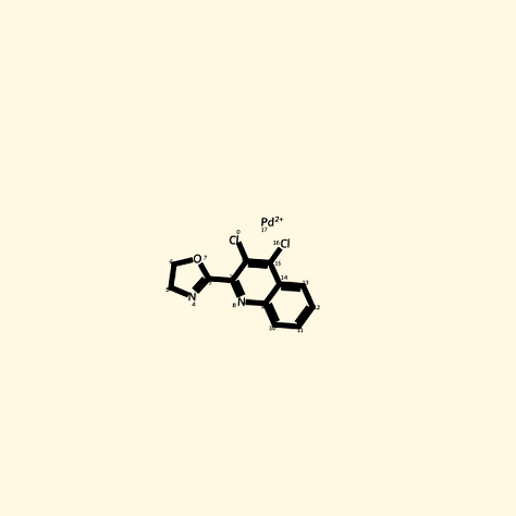 Clc1c(C2=NCCO2)nc2ccccc2c1Cl.[Pd+2]